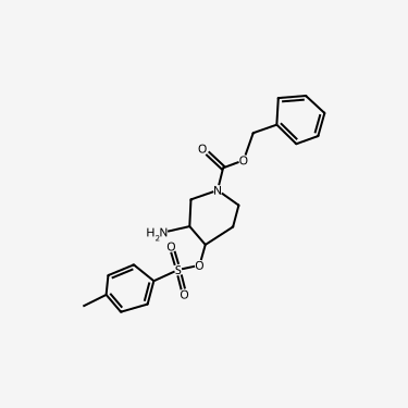 Cc1ccc(S(=O)(=O)OC2CCN(C(=O)OCc3ccccc3)CC2N)cc1